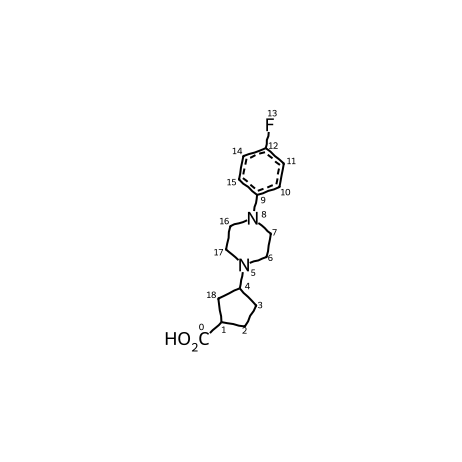 O=C(O)C1CCC(N2CCN(c3ccc(F)cc3)CC2)C1